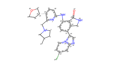 CC1CCN(Cc2nc(Nc3ccc(-c4cnc5cc(F)ccn45)c4c3C(=O)NC4)ccc2[C@@H]2CCOC2)C1